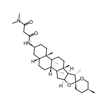 C[C@H]1CC[C@@]2(OC1)O[C@H]1C[C@@]3(C)[C@@H]4CC[C@@H]5C[C@@H](NC(=O)CC(=O)N(C)C)CC[C@]5(C)[C@@]4(C)CC[C@]3(C)[C@H]1[C@@H]2C